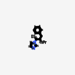 CCCC(Cc1ccccc1)C(CC)n1ccnc1